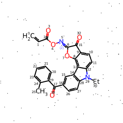 C=CC(=O)O/N=C1\Oc2c(ccc3c2c2cc(C(=O)c4ccccc4C)ccc2n3CC)C1=O